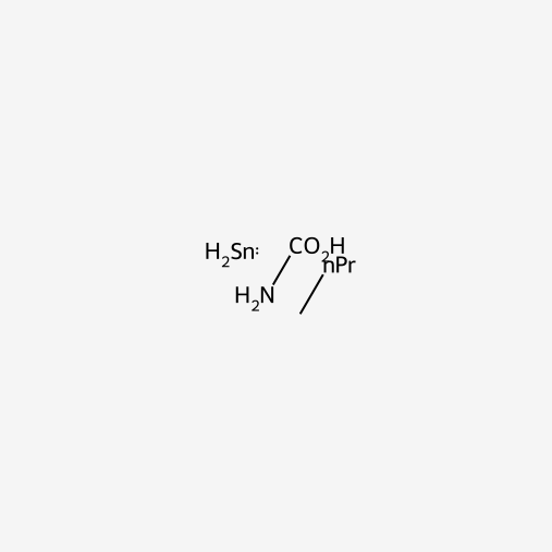 CCCC.NC(=O)O.[SnH2]